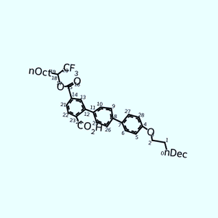 CCCCCCCCCCCCOc1ccc(-c2ccc(-c3cc(C(=O)OC(CCCCCCCC)C(F)(F)F)ccc3C(=O)O)cc2)cc1